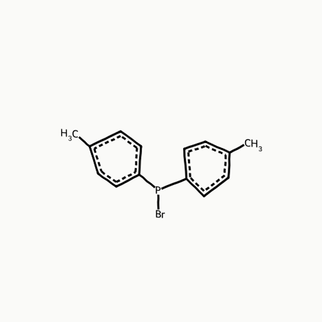 Cc1ccc(P(Br)c2ccc(C)cc2)cc1